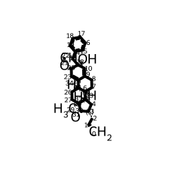 C=CC[C@H]1C[C@H]2[C@@H]3CCC4=CC(O)(Cc5ccccc5)C(OC)C=C4[C@H]3CC[C@]2(C)C1=O